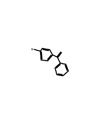 C=C(c1ccccc1)c1ccc(Br)cc1